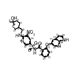 CC1(O)CCC(CNc2ncc(S(=O)(=O)NC(=O)c3ccccc3Oc3cnc4[nH]ccc4c3)cc2[N+](=O)[O-])CC1